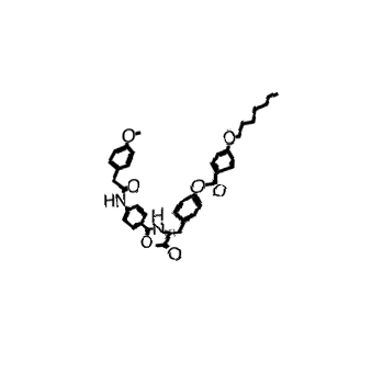 CCCCCCCOc1ccc(C(=O)Oc2ccc(C[C@H](NC(=O)c3ccc(NC(=O)Cc4ccc(OC)cc4)cc3)C(C)=O)cc2)cc1